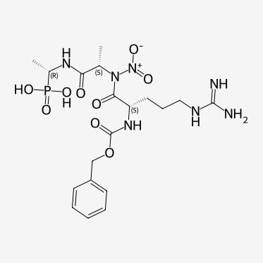 C[C@H](NC(=O)[C@H](C)N(C(=O)[C@H](CCCNC(=N)N)NC(=O)OCc1ccccc1)[N+](=O)[O-])P(=O)(O)O